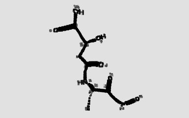 C[C@H](NC(=O)C[C@H](O)C(=O)O)C(=O)P=O